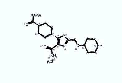 COC(=O)[C@H]1CC[C@H](c2sc(COC3CCNCC3)nc2C(N)=O)CC1.Cl